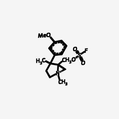 COc1cccc(C2(C)CC[N+]3(C)CC23C)c1.O=S(=O)([O-])F